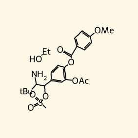 CCO.COc1ccc(C(=O)Oc2ccc(C(OS(C)(=O)=O)C(N)C(C)(C)C)cc2OC(C)=O)cc1